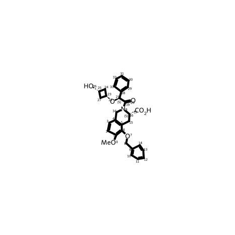 COc1ccc2c(c1OCc1ccccc1)C[C@@H](C(=O)O)N(C(=O)[C@@H](O[C@H]1C[C@@H](O)C1)c1ccccc1)C2